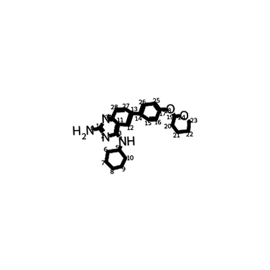 Nc1nc(NC2CCCCC2)c2cc(-c3ccc(OC4CCCCO4)cc3)ccc2n1